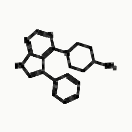 NC1CCN(c2ncnc3[nH]cc(-c4ccccc4)c23)CC1